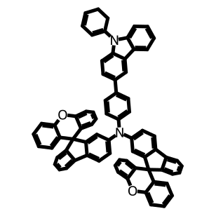 C1=CCCC(n2c3ccccc3c3cc(-c4ccc(N(c5ccc6c(c5)C5(c7ccccc7Oc7ccccc75)c5ccccc5-6)c5ccc6c(c5)C5(c7ccccc7Oc7ccccc75)c5ccccc5-6)cc4)ccc32)=C1